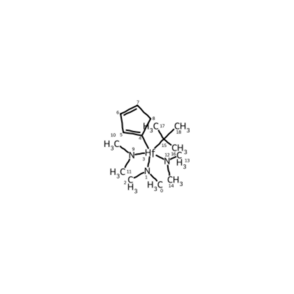 C[N](C)[Hf]([C]1=CC=CC1)([N](C)C)([N](C)C)[C](C)(C)C